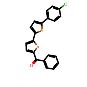 O=C(c1ccccc1)c1ccc(-c2ccc(-c3ccc(Cl)cc3)s2)s1